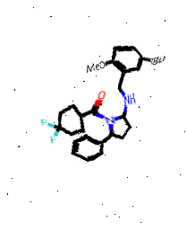 COc1ccc(C(C)(C)C)cc1CNC1CCC(c2ccccc2)N1C(=O)C1CCC(F)(F)CC1